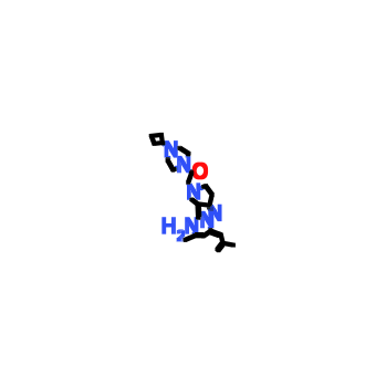 C=C(C)/C=C(\C=C(\C)N)n1cc2c(n1)CCN(CC(=O)N1CCN(C3CCC3)CC1)C2